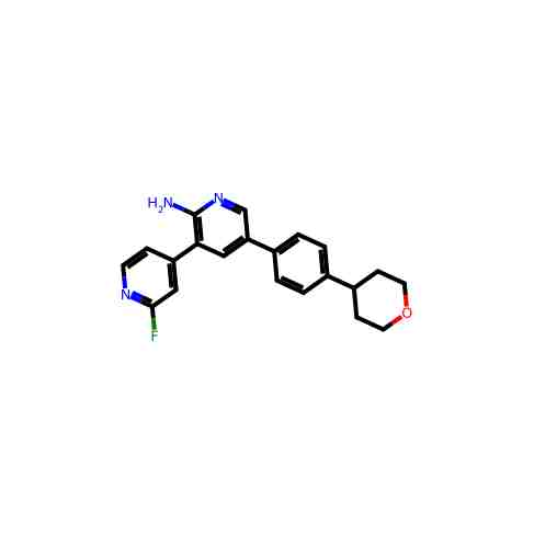 Nc1ncc(-c2ccc(C3CCOCC3)cc2)cc1-c1ccnc(F)c1